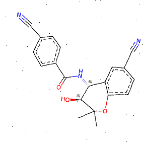 CC1(C)Oc2ccc(C#N)cc2[C@@H](NC(=O)c2ccc(C#N)cc2)[C@@H]1O